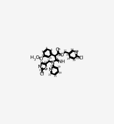 COc1cccc(C(C(=N)N(Cc2cnc(Cl)s2)c2ccccn2)C(=O)OCc2ccc(Cl)nc2)c1